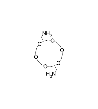 NCC1COCCOCCOC(CN)COCCOCCO1